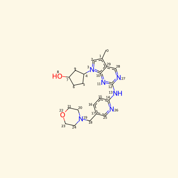 Cc1cn(C2CCC(O)C2)c2nc(Nc3ccc(CN4CCOCC4)cn3)ncc12